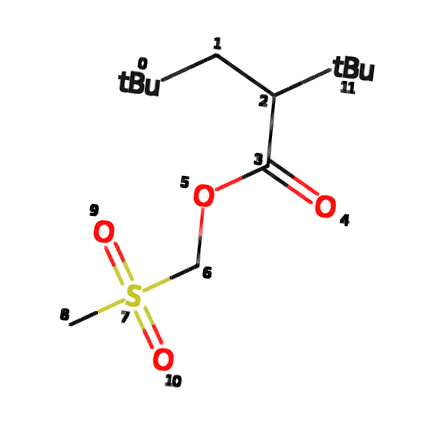 CC(C)(C)CC(C(=O)OCS(C)(=O)=O)C(C)(C)C